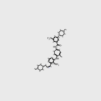 CC1=CC=C(NC(=O)c2cc(N3CCN(C)CC3)cc(C(F)(F)F)c2)CC=C1Nc1ncnc(/C=N\CN2CCN(C)CC2)c1N